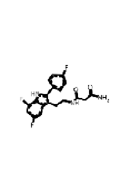 NC(=O)CC(=O)NCCc1c(-c2ccc(F)cc2)[nH]c2c(F)cc(F)cc12